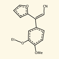 CCOc1cc(/C(=C/C#N)c2ccco2)ccc1OC